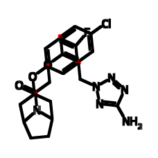 Nc1nnn(Cc2cc(Cl)ccc2OCC(=O)N2C3CCC2CC(Oc2ccc(F)cc2)C3)n1